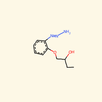 CCC(O)COc1ccccc1N=NN